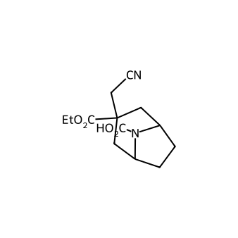 CCOC(=O)C1(CC#N)CC2CCC(C1)N2C(=O)O